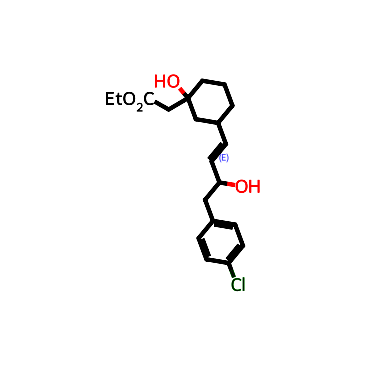 CCOC(=O)CC1(O)CCCC(/C=C/C(O)Cc2ccc(Cl)cc2)C1